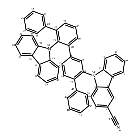 N#Cc1ccc2c(c1)c1ccccc1n2-c1cc(-c2cccc(-c3ccccc3)c2-n2c3ccccc3c3ccccc32)ccc1-c1ccccc1